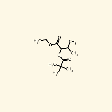 CCOC(=O)C(OC(=O)C(C)(C)C)C(C)C